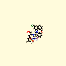 C[C@H]([C@@H](C)C/C=C/C(CO)N1CC[C@H]1CN1C[C@@]2(CCCc3cc(Cl)ccc32)COc2ccc(I)cc21)S(N)(=O)=O